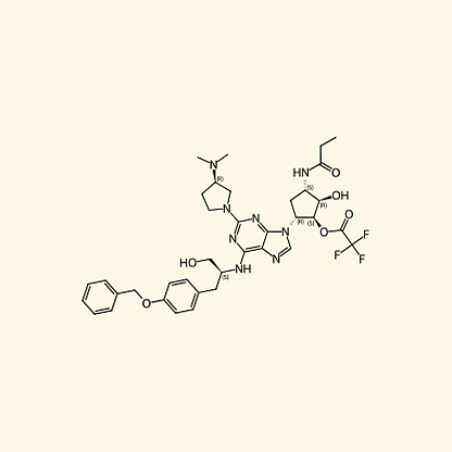 CCC(=O)N[C@H]1C[C@@H](n2cnc3c(N[C@H](CO)Cc4ccc(OCc5ccccc5)cc4)nc(N4CC[C@@H](N(C)C)C4)nc32)[C@H](OC(=O)C(F)(F)F)[C@@H]1O